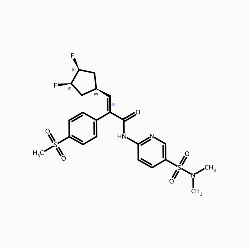 CN(C)S(=O)(=O)c1ccc(NC(=O)/C(=C/[C@H]2C[C@@H](F)[C@@H](F)C2)c2ccc(S(C)(=O)=O)cc2)nc1